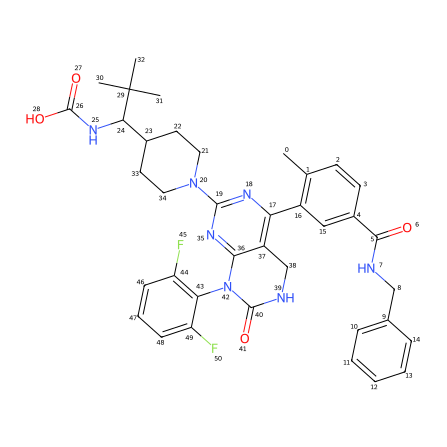 Cc1ccc(C(=O)NCc2ccccc2)cc1-c1nc(N2CCC(C(NC(=O)O)C(C)(C)C)CC2)nc2c1CNC(=O)N2c1c(F)cccc1F